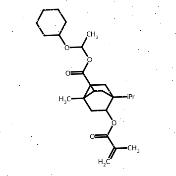 C=C(C)C(=O)OC1CC2(C)CCC1(C(C)C)CC2C(=O)OC(C)OC1CCCCC1